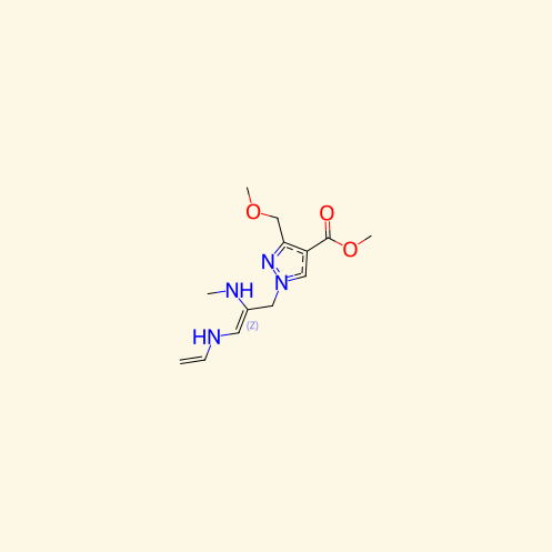 C=CN/C=C(/Cn1cc(C(=O)OC)c(COC)n1)NC